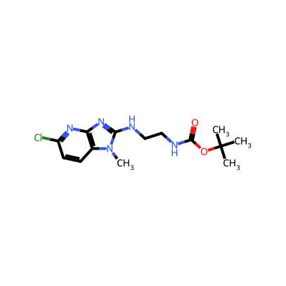 Cn1c(NCCNC(=O)OC(C)(C)C)nc2nc(Cl)ccc21